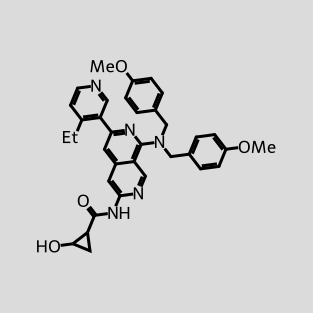 CCc1ccncc1-c1cc2cc(NC(=O)C3CC3O)ncc2c(N(Cc2ccc(OC)cc2)Cc2ccc(OC)cc2)n1